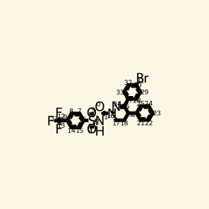 O=C(NS(=O)(=O)c1ccc(C(F)(F)F)cc1)N1CCC(c2ccccc2)C(c2ccc(Br)cc2)=N1